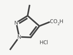 Cc1nn(C)cc1C(=O)O.Cl